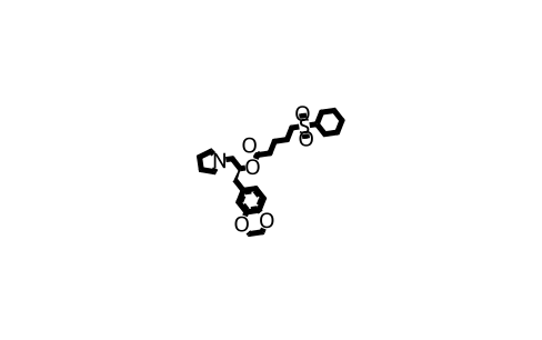 O=C(CCCCS(=O)(=O)C1CCCCC1)O[C@@H](Cc1ccc2c(c1)OCCO2)CN1CCCC1